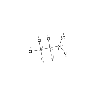 CC[SiH](Cl)[Si](Cl)(Cl)[Si](Cl)(Cl)Cl